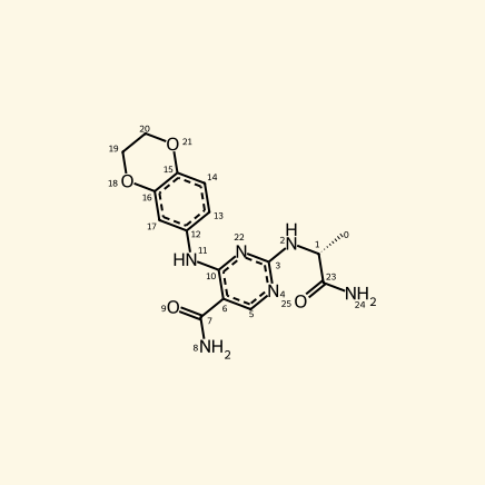 C[C@@H](Nc1ncc(C(N)=O)c(Nc2ccc3c(c2)OCCO3)n1)C(N)=O